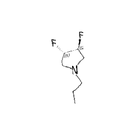 CCCN1C[C@H](F)[C@@H](F)C1